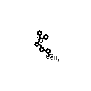 COC(=O)c1cccc(-c2cccc(CC3CCC=C3c3nc(-c4ccccc4)c(-c4ccccc4)o3)c2)c1